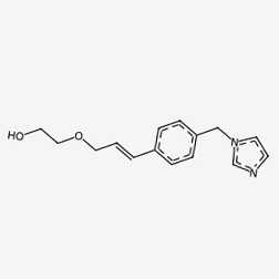 OCCOCC=Cc1ccc(Cn2ccnc2)cc1